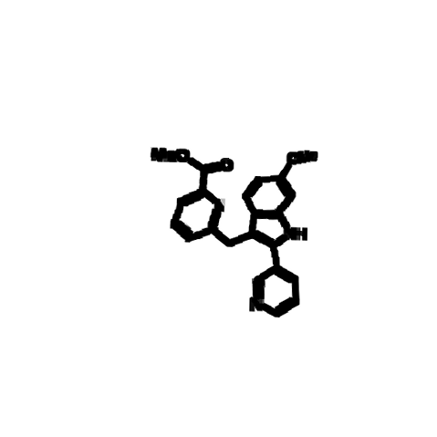 COC(=O)c1cccc(Cc2c(-c3cccnc3)[nH]c3cc(OC)ccc23)n1